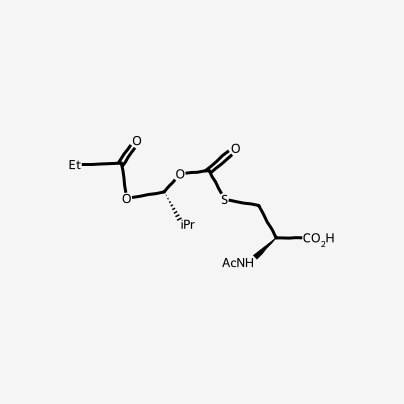 CCC(=O)O[C@H](OC(=O)SC[C@H](NC(C)=O)C(=O)O)C(C)C